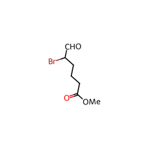 COC(=O)CCCC(Br)C=O